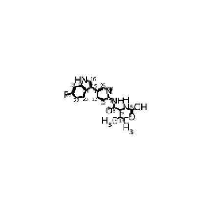 CC(C)C(NC(=O)O)C(=O)Nc1ccc(-c2c[nH]c3cc(F)ccc23)cn1